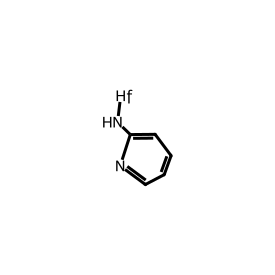 [Hf][NH]c1ccccn1